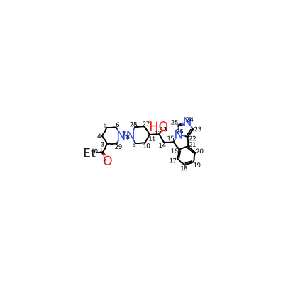 CCC(=O)C1CCCN(N2CCC(C(O)CC3c4ccccc4-c4cncn43)CC2)C1